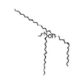 [CH2]CCN(C(O)CCCCCCCCCCCCCCC)C(CCCCCCCC/C=C\CCCCCCCC)CCCCCCCCCCCCCCC